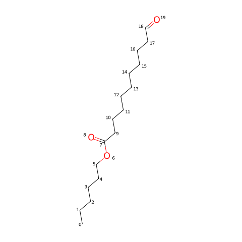 CCCCCCOC(=O)CCCCCCCCCC=O